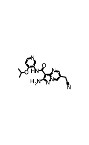 CC(C)Oc1ccncc1NC(=O)c1c(N)nn2cc(CC#N)cnc12